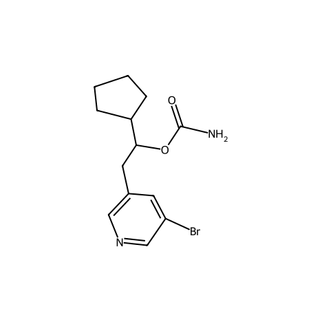 NC(=O)OC(Cc1cncc(Br)c1)C1CCCC1